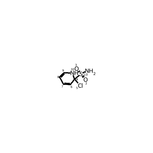 NS(=O)(=O)C1(Cl)C=CC=CN1